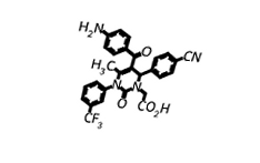 CC1=C(C(=O)c2ccc(N)cc2)C(c2ccc(C#N)cc2)N(CC(=O)O)C(=O)N1c1cccc(C(F)(F)F)c1